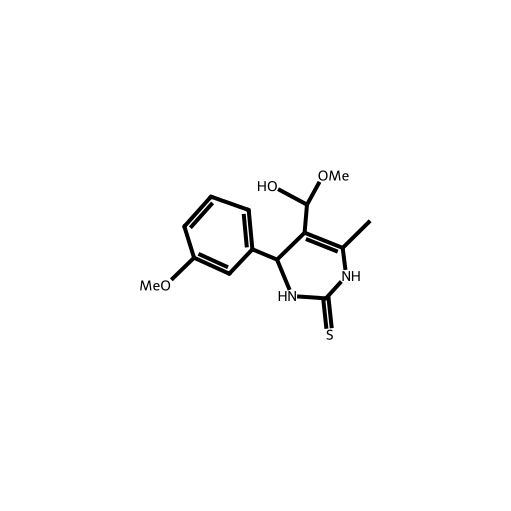 COc1cccc(C2NC(=S)NC(C)=C2C(O)OC)c1